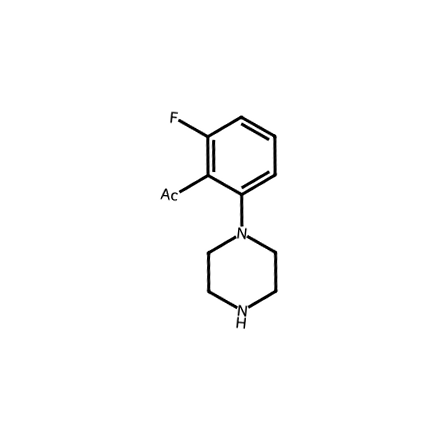 CC(=O)c1c(F)cccc1N1CCNCC1